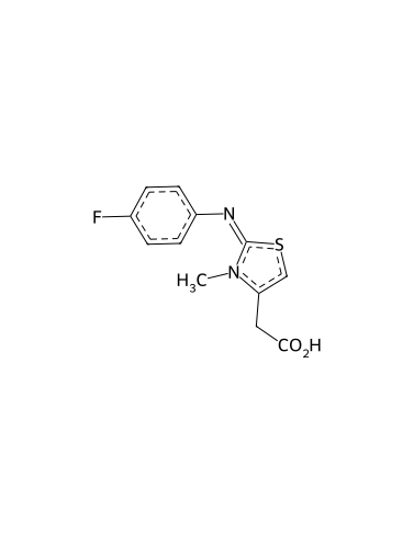 Cn1c(CC(=O)O)csc1=Nc1ccc(F)cc1